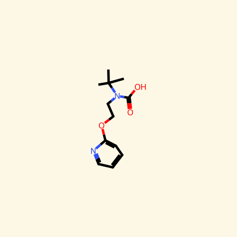 CC(C)(C)N(CCOc1ccccn1)C(=O)O